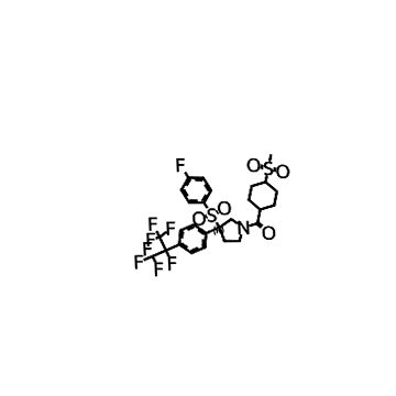 CS(=O)(=O)C1CCC(C(=O)N2CC[C@](c3ccc(C(F)(C(F)(F)F)C(F)(F)F)cc3)(S(=O)(=O)c3ccc(F)cc3)C2)CC1